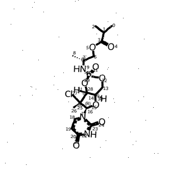 CC(C)C(=O)OC[C@@H](C)N[P@@]1(=O)OC[C@H]2O[C@@H](n3ccc(=O)[nH]c3=O)[C@](C)(Cl)[C@@H]2O1